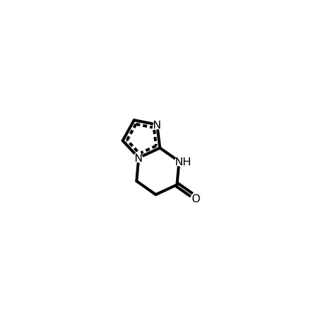 O=C1CCn2ccnc2N1